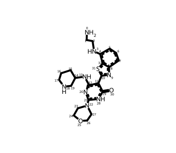 NCCNc1cccc2nc(-c3c(NC4CCCNC4)nc(N4CCOCC4)[nH]c3=O)sc12